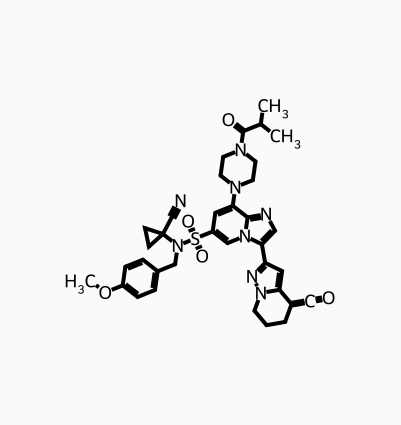 COc1ccc(CN(C2(C#N)CC2)S(=O)(=O)c2cc(N3CCN(C(=O)C(C)C)CC3)c3ncc(-c4cc5n(n4)CCCC5=C=O)n3c2)cc1